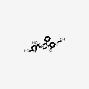 C[C@@](O)(CN1CCN(c2ccc(OCCO)cc2Cl)[C@H](c2ccccc2)C1)c1ccc(CO)nc1